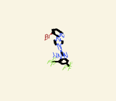 FC(F)(F)c1cc(C(F)(F)F)c2[nH]c(N3CCN(c4ncccc4Br)CC3)nc2c1